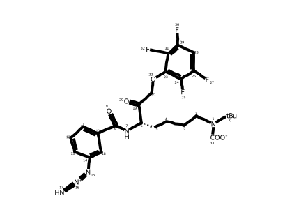 CC(C)(C)N(CCCC[C@H](NC(=O)c1cccc(N=[N+]=N)c1)C(=O)COc1c(F)c(F)cc(F)c1F)C(=O)[O-]